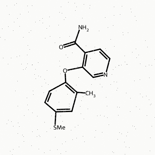 CSc1ccc(Oc2cnccc2C(N)=O)c(C)c1